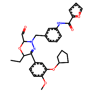 CCC1OC(C=O)N(Cc2cccc(NC(=O)c3ccco3)c2)N=C1c1ccc(OC)c(OC2CCCC2)c1